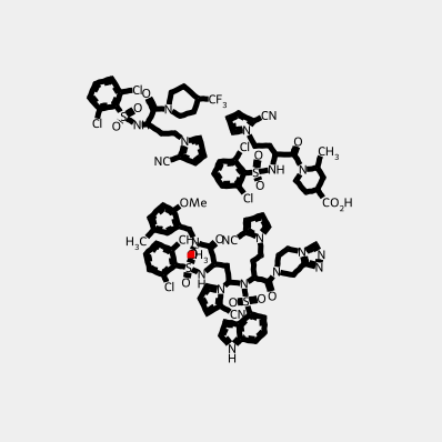 CC1CC(C(=O)O)CCN1C(=O)C(CCn1cccc1C#N)NS(=O)(=O)c1c(Cl)cccc1Cl.COc1ccc(C)cc1CN(C)C(=O)C(CC(N(C(CCn1cccc1C#N)C(=O)N1CCn2cnnc2C1)S(=O)(=O)c1cccc2[nH]ccc12)n1cccc1C#N)NS(=O)(=O)c1c(C)cccc1Cl.N#Cc1cccn1CCC(NS(=O)(=O)c1c(Cl)cccc1Cl)C(=O)N1CCC(C(F)(F)F)CC1